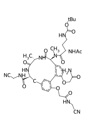 CC(=O)N[C@@H](CCNC(=O)OC(C)(C)C)C(=O)N(C)[C@@H]1C(=O)N[C@@H](C)C(=O)N[C@H](C(=O)NCC#N)Cc2ccc(OCC(=O)NCC#N)c(c2)-c2cc1ccc2OCC(N)=O